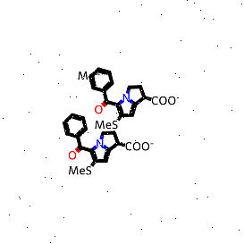 CSc1cc2n(c1C(=O)c1ccccc1)CCC2C(=O)[O-].CSc1cc2n(c1C(=O)c1ccccc1)CCC2C(=O)[O-].[Mg+2]